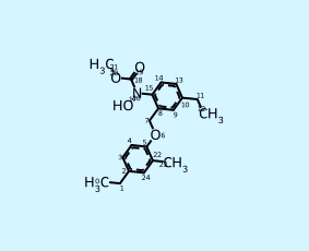 CCc1ccc(OCc2cc(CC)ccc2N(O)C(=O)OC)c(C)c1